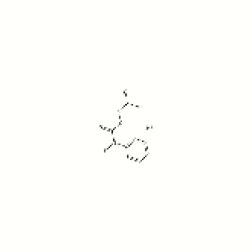 F.O=C(OSC(Cl)Cl)N(F)c1ccccc1